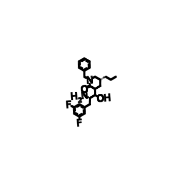 CCC[C@@H]1CC([C@@H](O)[C@@H](N)Cc2cc(F)cc(F)c2)C(=O)N(Cc2ccccc2)C1